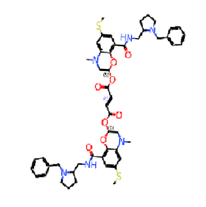 CSc1cc(C(=O)NCC2CCCN2Cc2ccccc2)c2c(c1)N(C)C[C@H](OC(=O)/C=C/C(=O)O[C@H]1CN(C)c3cc(SC)cc(C(=O)NCC4CCCN4Cc4ccccc4)c3O1)O2